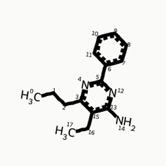 CCCc1nc(-c2ccccc2)nc(N)c1CC